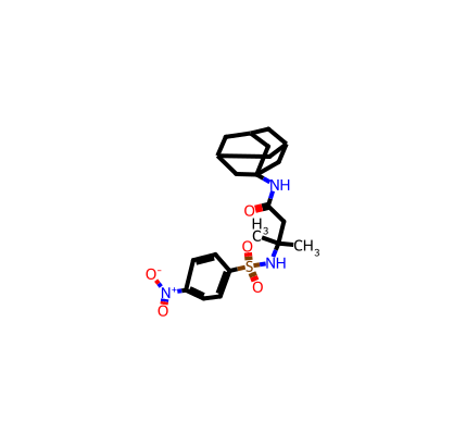 CC(C)(CC(=O)NC12CC3CC(CC(C3)C1)C2)NS(=O)(=O)c1ccc([N+](=O)[O-])cc1